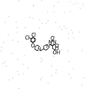 COc1nc(OC)c(CC(=O)O)c(N2CCC(CN3CCC(Oc4ccc(Cl)c(Cl)c4)CC3)CC2)n1